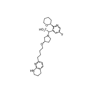 O=C(O)C(c1cc(F)cnc1[C@@H]1CCCCO1)N1CC[C@@H](OCCCCc2ccc3c(n2)NCCC3)C1